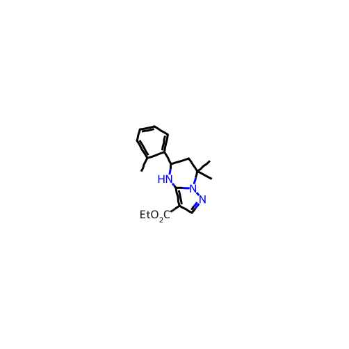 CCOC(=O)c1cnn2c1NC(c1ccccc1C)CC2(C)C